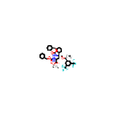 COC(=O)/C(=C/[C@](CO[C@H](C)c1cc(C(F)(F)F)cc(C(F)(F)F)c1)(NC(=O)OCc1ccccc1)c1ccccc1)NC(=O)OCc1ccccc1